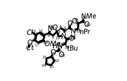 CCC[C@H](NC(=O)[C@@H]1C[C@]2(CC(c3cc(Cl)c(OCC)cc3OC)=NO2)CN1C(=O)[C@@H](NC(=O)OC1CCCC1)C(C)(C)C)C(=O)C(=O)NC